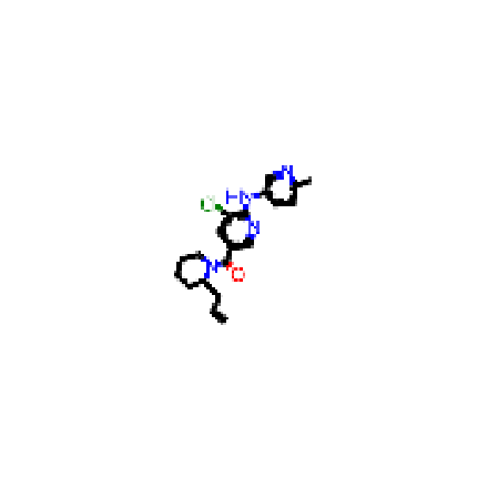 C=CCC1CCCCN1C(=O)c1cnc(Nc2ccc(C)nc2)c(Cl)c1